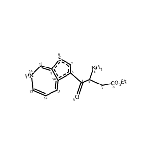 CCOC(=O)CC(N)C(=O)c1csc2c1=CC=CNC=2